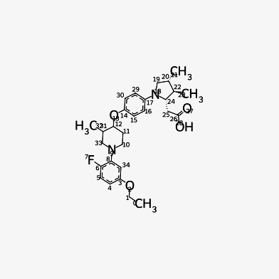 CCOc1ccc(F)c(N2CCC(Oc3ccc(N4C[C@H](C)[C@@H](C)[C@@H]4CC(=O)O)cc3)C(C)C2)c1